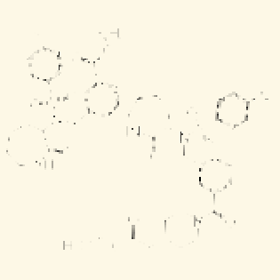 CCOC(=O)CC1CCN(C(=O)c2cccc(CN(C3CCCCNC3=O)S(=O)(=O)c3ccc(Cl)cc3)c2)CC1.COC(=O)c1cccc(CN(C2CCCCNC2=O)S(=O)(=O)c2ccc(Cl)cc2)c1